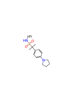 CCCNS(=O)(=O)C(C)(C)c1ccc(N2CCCC2)cc1